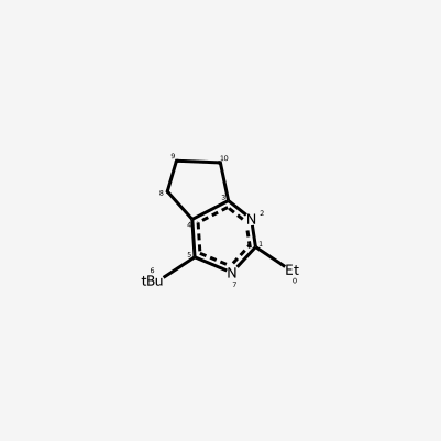 CCc1nc2c(c(C(C)(C)C)n1)CCC2